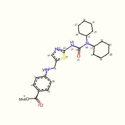 COC(=O)c1ccc(NCc2cnc(NC(=O)N(C3CCCCC3)C3CCCCC3)s2)cc1